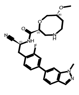 CO[C@@H]1CCNC[C@@H](C(=O)N[C@H](C#N)Cc2ccc(-c3ccc4cnn(C)c4c3)cc2F)OC1